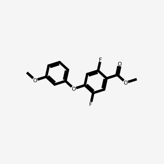 COC(=O)c1cc(F)c(Oc2cccc(OC)c2)cc1F